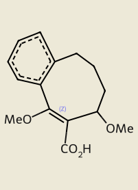 CO/C1=C(\C(=O)O)C(OC)CCCc2ccccc21